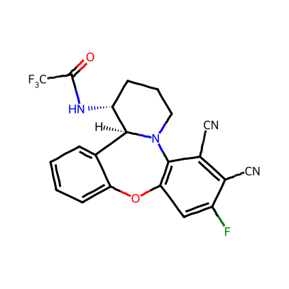 N#Cc1c(F)cc2c(c1C#N)N1CCC[C@@H](NC(=O)C(F)(F)F)[C@@H]1c1ccccc1O2